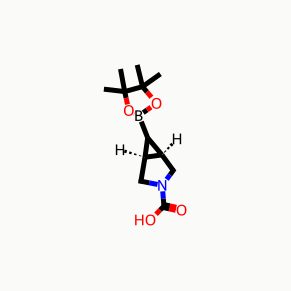 CC1(C)OB(C2[C@H]3CN(C(=O)O)C[C@@H]23)OC1(C)C